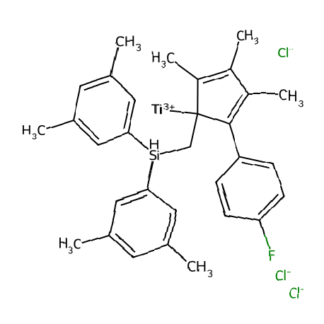 CC1=C(C)[C]([Ti+3])(C[SiH](c2cc(C)cc(C)c2)c2cc(C)cc(C)c2)C(c2ccc(F)cc2)=C1C.[Cl-].[Cl-].[Cl-]